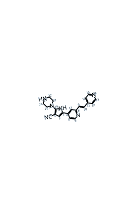 N#Cc1cc(-c2ccnc(/C=C/c3ccncc3)c2)[nH]c1N1CCNCC1